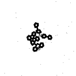 c1ccc(-c2ccc(N(c3ccc(-c4ccccc4)cc3)c3ccc4c(c3)C3(c5ccccc5-c5ccccc53)c3cccc(C5Cc6ccccc6Oc6ccccc65)c3-4)cc2)cc1